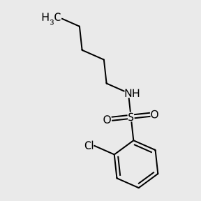 CCCCCNS(=O)(=O)c1ccccc1Cl